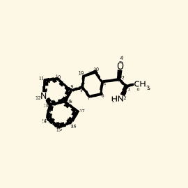 CC(=N)C(=O)C1CCC(c2ccnc3ccccc23)CC1